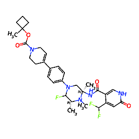 C[C@@H]1C(F)N(c2ccc(C3=CCN(C(=O)OC4(C)CCC4)CC3)cc2)C[C@@](C)(NC(=O)c2c[nH]c(=O)cc2C(F)F)N1C